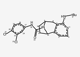 CC(C)(C)Nc1nccc2c1CC1CCC2N1C(=O)Nc1ccc(Cl)c(Cl)c1